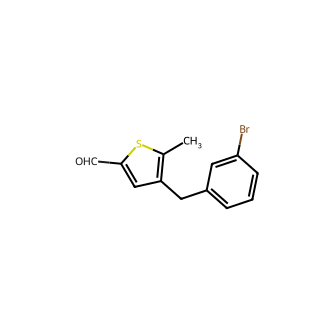 Cc1sc(C=O)cc1Cc1cccc(Br)c1